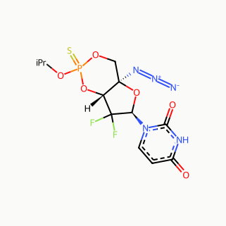 CC(C)OP1(=S)OC[C@@]2(N=[N+]=[N-])O[C@@H](n3ccc(=O)[nH]c3=O)C(F)(F)[C@@H]2O1